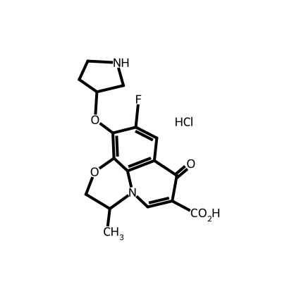 CC1COc2c(OC3CCNC3)c(F)cc3c(=O)c(C(=O)O)cn1c23.Cl